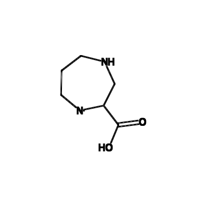 O=C(O)C1CNCCC[N]1